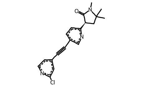 CN1C(=O)[C@H](c2ccc(C#Cc3ccnc(Cl)c3)cn2)CC1(C)C